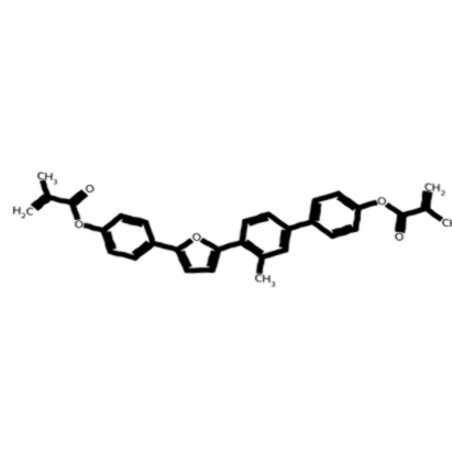 C=C(C)C(=O)Oc1ccc(-c2ccc(-c3ccc(-c4ccc(OC(=O)C(=C)C)cc4)o3)c(C)c2)cc1